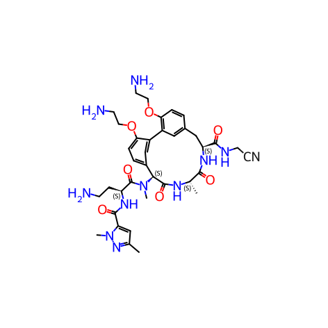 Cc1cc(C(=O)N[C@@H](CCN)C(=O)N(C)[C@@H]2C(=O)N[C@@H](C)C(=O)N[C@H](C(=O)NCC#N)Cc3ccc(OCCN)c(c3)-c3cc2ccc3OCCN)n(C)n1